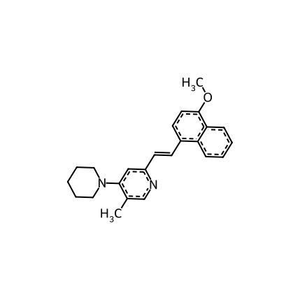 COc1ccc(/C=C/c2cc(N3CCCCC3)c(C)cn2)c2ccccc12